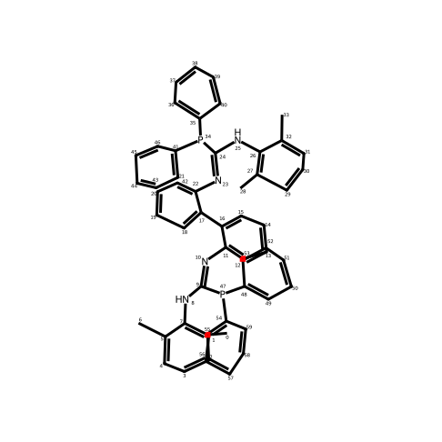 Cc1cccc(C)c1N/C(=N/c1ccccc1-c1ccccc1/N=C(/Nc1c(C)cccc1C)P(c1ccccc1)c1ccccc1)P(c1ccccc1)c1ccccc1